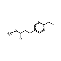 COC(=O)CCc1cnc(CF)nc1